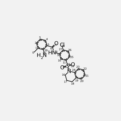 Cc1cccc(C(=O)Nc2cc(S(=O)(=O)N3CCCc4ccccc43)ccc2Cl)c1N